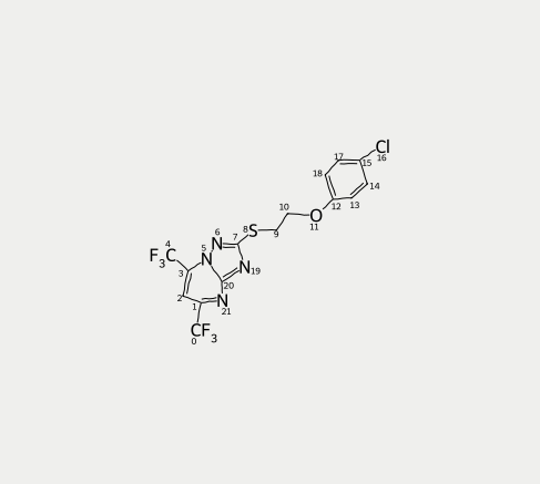 FC(F)(F)c1cc(C(F)(F)F)n2nc(SCCOc3ccc(Cl)cc3)nc2n1